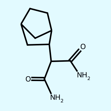 NC(=O)C(C(N)=O)C1CC2CCC1C2